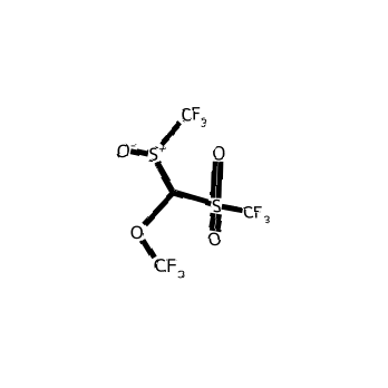 O=S(=O)(C(OC(F)(F)F)[S+]([O-])C(F)(F)F)C(F)(F)F